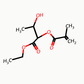 C=C(C)C(=O)OC(C(=O)OCC)C(C)O